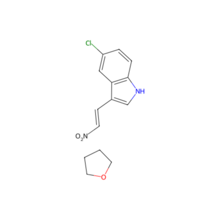 C1CCOC1.O=[N+]([O-])C=Cc1c[nH]c2ccc(Cl)cc12